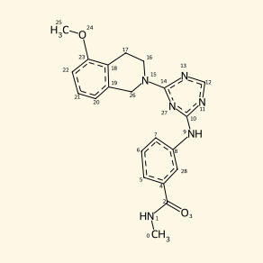 CNC(=O)c1cccc(Nc2ncnc(N3CCc4c(cccc4OC)C3)n2)c1